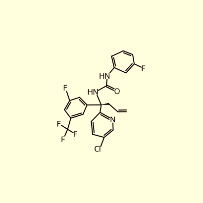 C=CC[C@](NC(=O)Nc1cccc(F)c1)(c1cc(F)cc(C(F)(F)F)c1)c1ccc(Cl)cn1